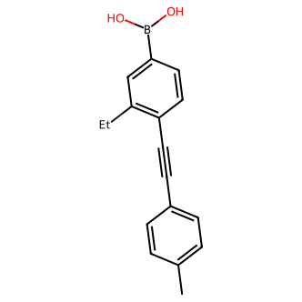 CCc1cc(B(O)O)ccc1C#Cc1ccc(C)cc1